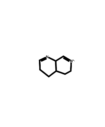 C1=NC2C=[N+]CCC2CC1